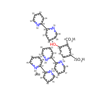 O=C(O)c1cc(S(=O)(=O)O)ccc1O.[Ru].c1ccc(-c2ccccn2)nc1.c1ccc(-c2ccccn2)nc1.c1ccc(-c2ccccn2)nc1